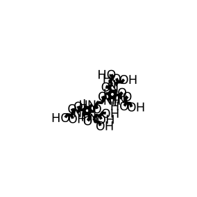 O=C(CCC(=O)Nc1c(I)c(C(=O)NC(=O)C(O)CO)c(I)c(C(=O)N(CCO)CC(O)CO)c1I)Nc1c(I)c(C(=O)NC(=O)C(O)CO)c(I)c(C(=O)N(CCO)CC(O)CO)c1I